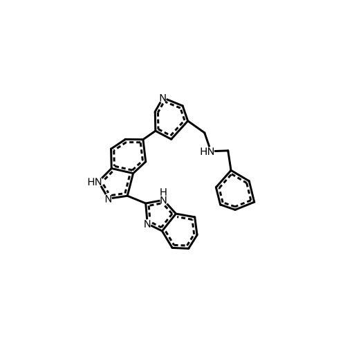 c1ccc(CNCc2cncc(-c3ccc4[nH]nc(-c5nc6ccccc6[nH]5)c4c3)c2)cc1